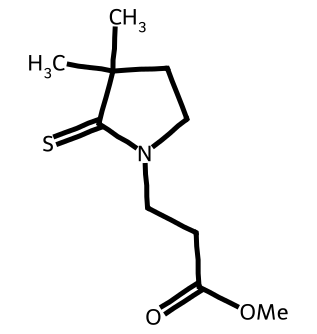 COC(=O)CCN1CCC(C)(C)C1=S